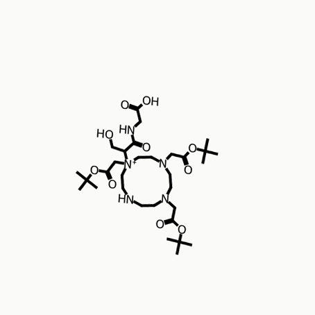 CC(C)(C)OC(=O)CN1CCNCC[N+](CC(=O)OC(C)(C)C)(C(CO)C(=O)NCC(=O)O)CCN(CC(=O)OC(C)(C)C)CC1